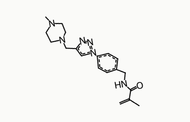 C=C(C)C(=O)NCc1ccc(-n2cc(CN3CCN(C)CC3)nn2)cc1